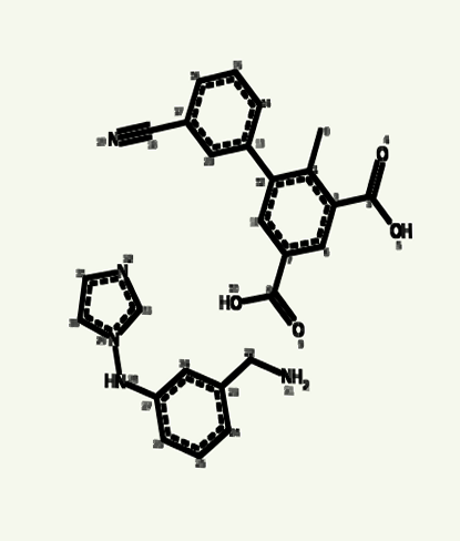 Cc1c(C(=O)O)cc(C(=O)O)cc1-c1cccc(C#N)c1.NCc1cccc(Nn2ccnc2)c1